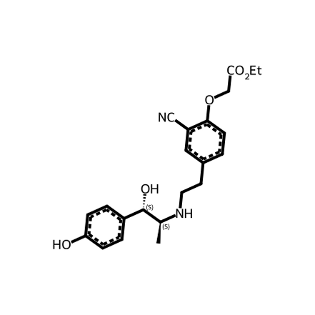 CCOC(=O)COc1ccc(CCN[C@@H](C)[C@@H](O)c2ccc(O)cc2)cc1C#N